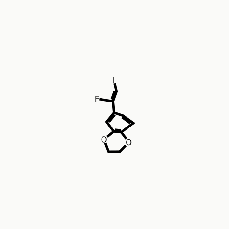 FC(=CI)c1ccc2c(c1)OCCO2